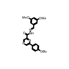 COc1cc(C=NNC(=O)c2cncc(-c3ccc(OCC(C)C)cc3)n2)cc(OC)c1